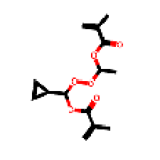 C=C(C)C(=O)OC(C)OOC(OC(=O)C(=C)C)C1CC1